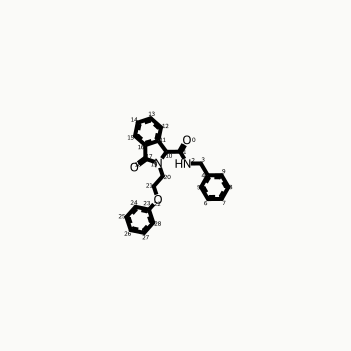 O=C(NCc1ccccc1)C1c2ccccc2C(=O)N1CCOc1ccccc1